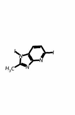 Cc1nc2nc(I)ccc2n1I